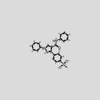 CS(=O)(=O)c1ccc(-c2nn(-c3ccccc3)cc2C(=O)Nc2ccccc2)cc1